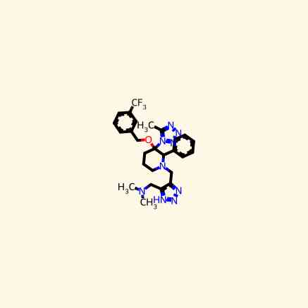 Cc1nnnn1C1(OCc2cccc(C(F)(F)F)c2)CCCN(Cc2nn[nH]c2CN(C)C)C1c1ccccc1